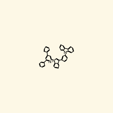 c1ccc(-c2cc(-c3ccccc3)nc(-n3cc(-c4cccc(-n5c6ccccc6c6ccccc65)c4)c4ccccc43)c2)cc1